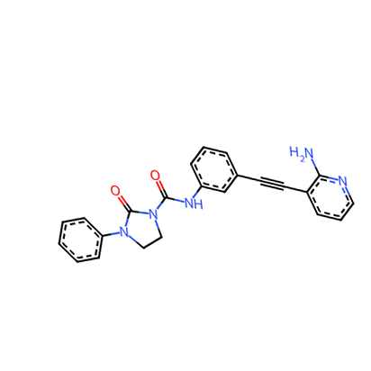 Nc1ncccc1C#Cc1cccc(NC(=O)N2CCN(c3ccccc3)C2=O)c1